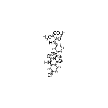 CC(C(=O)O)C(=O)Nc1cccc(S(=O)(=O)n2c(=O)[nH]c3cc(Cl)ccc3c2=O)c1